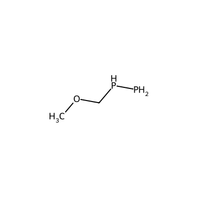 COCPP